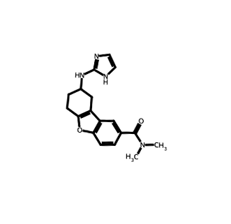 CN(C)C(=O)c1ccc2oc3c(c2c1)CC(Nc1ncc[nH]1)CC3